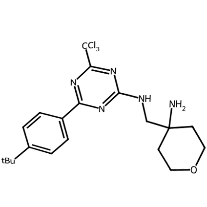 CC(C)(C)c1ccc(-c2nc(NCC3(N)CCOCC3)nc(C(Cl)(Cl)Cl)n2)cc1